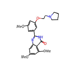 COc1cc(OCCN2CCCC2)cc(-c2nc3cc(OC)cc(OC)c3c(=O)[nH]2)c1